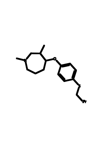 CC(C)CSc1ccc(OC2CCCN(C)CC2C)cc1